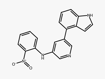 O=[N+]([O-])c1ccccc1Nc1cncc(-c2cccc3[nH]ccc23)c1